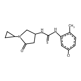 Cc1ccc(Cl)cc1NC(=S)NC1CC(=O)N(C2CC2)C1